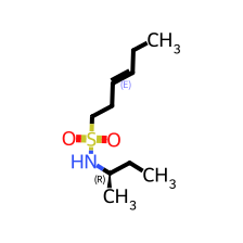 CC/C=C/CCS(=O)(=O)N[C@H](C)CC